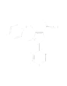 NC(=O)C1=C(N)N(Cc2ccccn2)C(c2cccnc2)S1